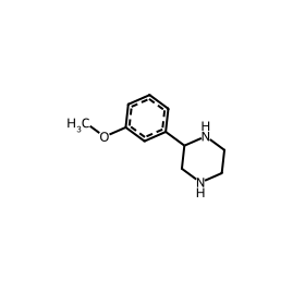 COc1cccc(C2CNCCN2)c1